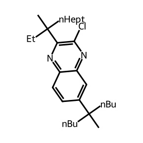 CCCCCCCC(C)(CC)c1nc2ccc(C(C)(CCCC)CCCC)cc2nc1Cl